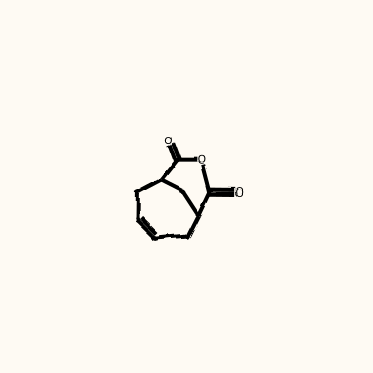 O=C1OC(=O)C2CC=CCC1C2